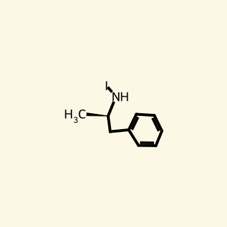 C[C@H](Cc1ccccc1)NI